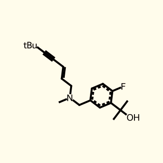 CN(C/C=C/C#CC(C)(C)C)Cc1ccc(F)c(C(C)(C)O)c1